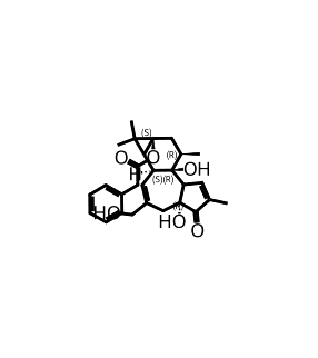 CC1=CC2[C@@]3(O)[C@H](C)C[C@]4(OC(=O)Cc5ccccc5)C([C@@H]3C=C(CO)C[C@]2(O)C1=O)C4(C)C